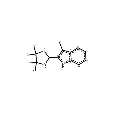 Cc1c(C2OC(C)(C)C(C)(C)O2)[nH]c2ccccc12